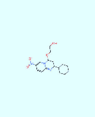 O=[N+]([O-])C1=CN2C(=NC(C3CCCCC3)CC2OCCO)C=C1